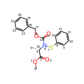 COC(=O)[C@H](C)N(Sc1ccccc1)C(=O)OCc1ccccc1